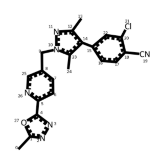 Cc1nnc(-c2ccc(Cn3nc(C)c(-c4ccc(C#N)c(Cl)c4)c3C)cn2)o1